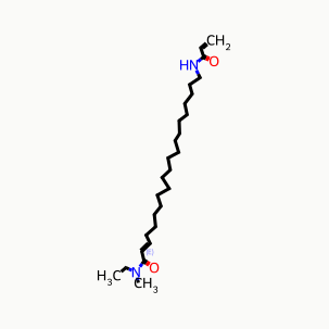 C=CC(=O)NCCCCCCCCCCCCCCCCCC/C=C/C(=O)N(C)CC